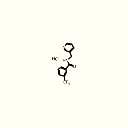 Cl.O=C(NCc1cccnc1)c1cccc(C(F)(F)F)c1